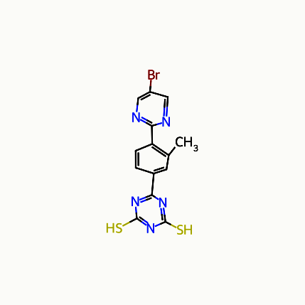 Cc1cc(-c2nc(S)nc(S)n2)ccc1-c1ncc(Br)cn1